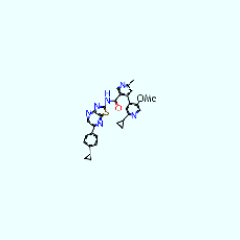 COc1cnc(C2CC2)cc1-c1cc(C)ncc1C(=O)Nc1nc2ncc(-c3ccc(C4CC4)cc3)nc2s1